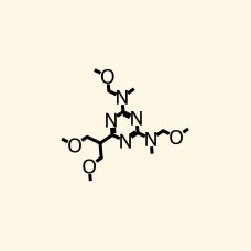 COCC(COC)c1nc(N(C)COC)nc(N(C)COC)n1